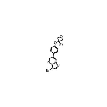 CCC1(Oc2ccc(-c3cnc4c(Br)cnn4c3)cc2)COC1